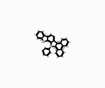 c1ccc(-n2c3c(ccc4c5ccccc5sc43)c3c4ccccc4c4ccccc4c32)cc1